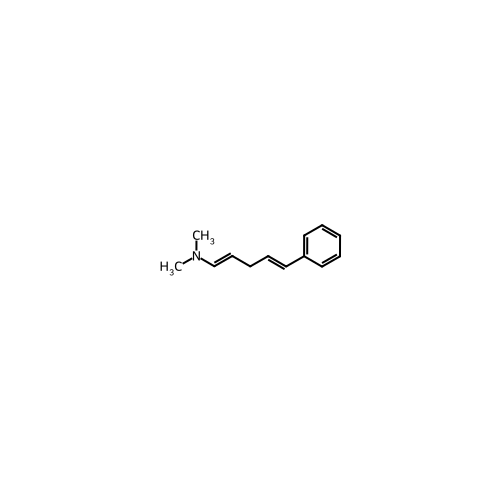 CN(C)C=CCC=Cc1ccccc1